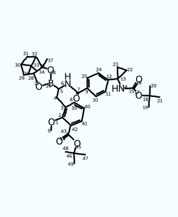 COc1c(CC(NC(=O)c2ccc(C3(NC(=O)OC(C)(C)C)CC3)cc2)B2OC3CC4CC(C4(C)C)C3(C)O2)cccc1C(=O)OC(C)(C)C